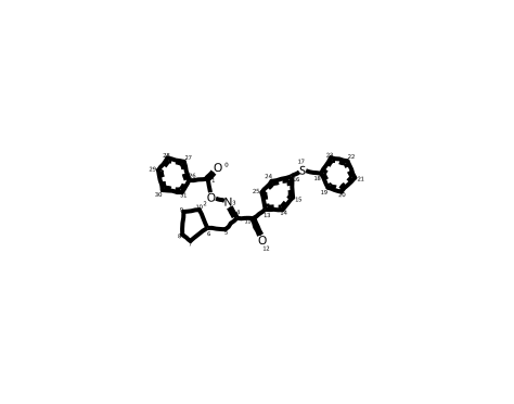 O=C(ON=C(CC1CCCC1)C(=O)c1ccc(Sc2ccccc2)cc1)c1ccccc1